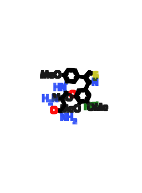 COc1ccc(-c2csnc2-c2cc(OC)c(OC)c(OC)c2)cc1NC(=O)C(N)CC(N)=O.Cl